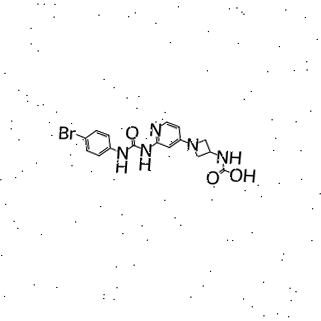 O=C(O)NC1CN(c2ccnc(NC(=O)Nc3ccc(Br)cc3)c2)C1